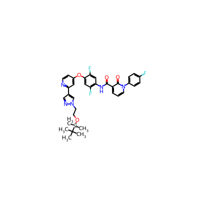 CC(C)(C)[Si](C)(C)OCCn1cc(-c2cc(Oc3cc(F)c(NC(=O)c4cccn(-c5ccc(F)cc5)c4=O)cc3F)ccn2)cn1